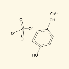 O=S(=O)([O-])[O-].Oc1ccc(O)cc1.[Ca+2]